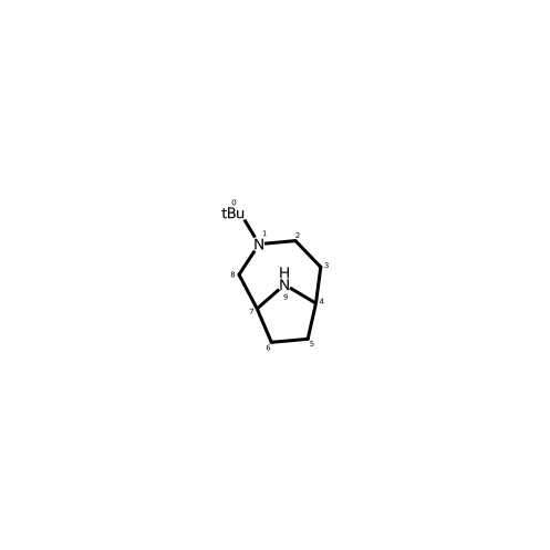 CC(C)(C)N1CCC2CCC(C1)N2